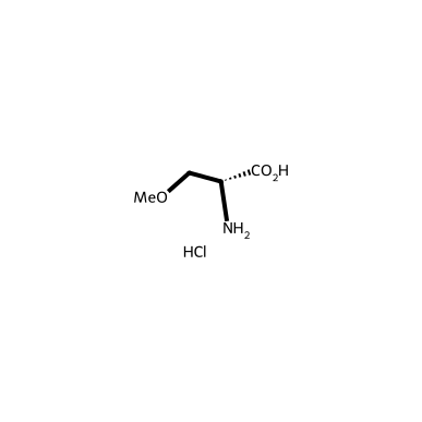 COC[C@@H](N)C(=O)O.Cl